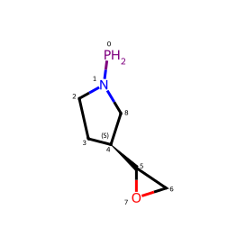 PN1CC[C@H](C2CO2)C1